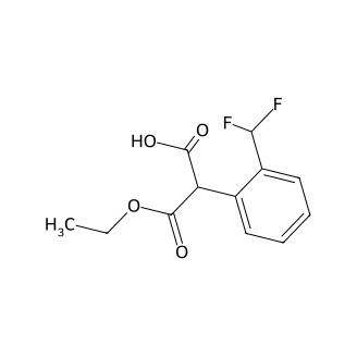 CCOC(=O)C(C(=O)O)c1ccccc1C(F)F